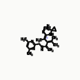 C=N/C(NC1(C)CC1)=C(\C)C(C(=C)NCc1nc(C)cc(C)n1)=C(C)C